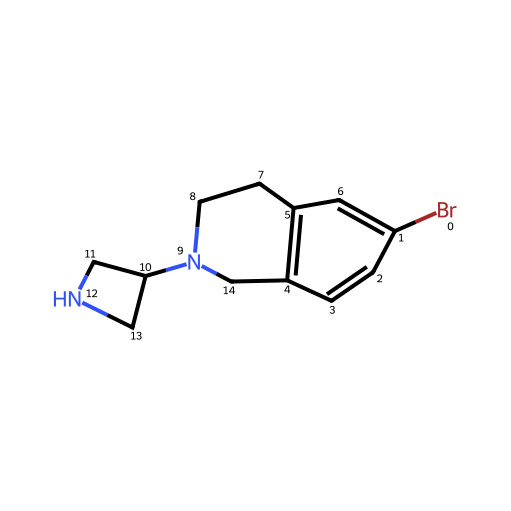 Brc1ccc2c(c1)CCN(C1CNC1)C2